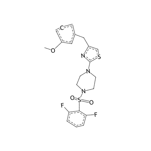 COc1cccc(Cc2csc(N3CCN(S(=O)(=O)c4c(F)cccc4F)CC3)n2)c1